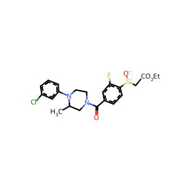 CCOC(=O)C[S+]([O-])c1ccc(C(=O)N2CCN(c3cccc(Cl)c3)C(C)C2)cc1F